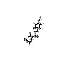 COCc1c(F)c(F)c(COC(=O)[C@@H]2[C@@H](C=C(C)C#N)C2(C)C)c(F)c1F